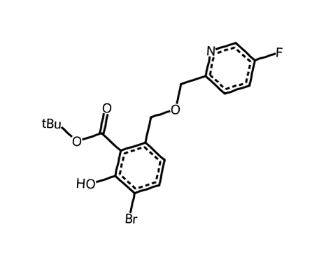 CC(C)(C)OC(=O)c1c(COCc2ccc(F)cn2)ccc(Br)c1O